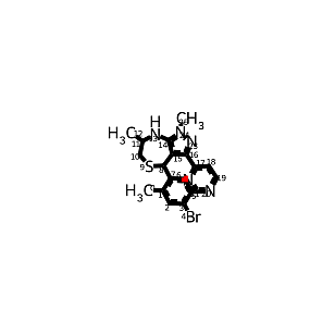 Cc1cc(Br)ccc1C1SCC(C)Nc2c1c(-c1ccncn1)nn2C